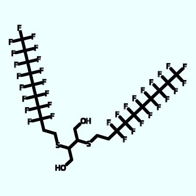 OCC(SCCC(F)(F)C(F)(F)C(F)(F)C(F)(F)C(F)(F)C(F)(F)C(F)(F)C(F)(F)F)C(CO)SCCC(F)(F)C(F)(F)C(F)(F)C(F)(F)C(F)(F)C(F)(F)C(F)(F)C(F)(F)F